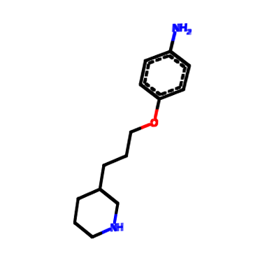 Nc1ccc(OCCCC2CCCNC2)cc1